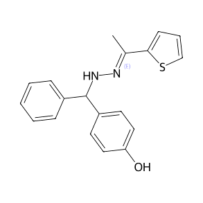 C/C(=N\NC(c1ccccc1)c1ccc(O)cc1)c1cccs1